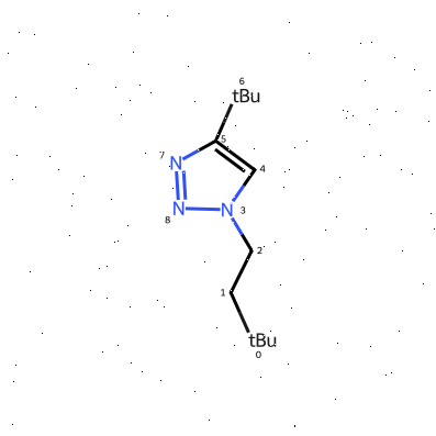 CC(C)(C)CCn1cc(C(C)(C)C)nn1